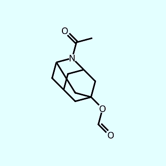 CC(=O)N1C2CC3CC1CC(OC=O)(C3)C2